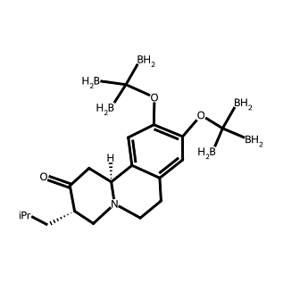 BC(B)(B)Oc1cc2c(cc1OC(B)(B)B)[C@@H]1CC(=O)[C@@H](CC(C)C)CN1CC2